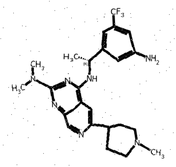 C[C@@H](Nc1nc(N(C)C)nc2cnc(C3CCN(C)CC3)cc12)c1cc(N)cc(C(F)(F)F)c1